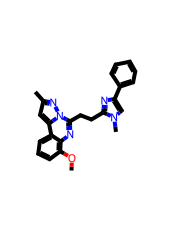 COc1cccc2c1nc(CCc1nc(-c3ccccc3)cn1C)n1nc(C)cc21